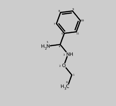 CCONC(N)c1ccccc1